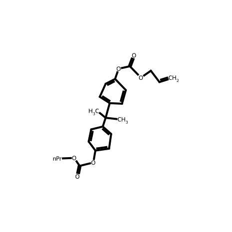 C=CCOC(=O)Oc1ccc(C(C)(C)c2ccc(OC(=O)OCCC)cc2)cc1